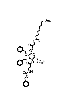 CCCCCCCCCCCCCCCCCC(=O)OCC(O)CO[C@@H]1O[C@H](CS(=O)(=O)O)[C@@H](OC(=O)CCNC(=O)OCc2ccccc2)[C@H](OCc2ccccc2)[C@H]1OCc1ccccc1